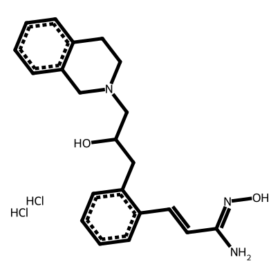 Cl.Cl.NC(C=Cc1ccccc1CC(O)CN1CCc2ccccc2C1)=NO